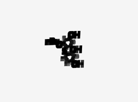 CCCCOc1cc(O)ccc1Sc1ccc(O)cc1O